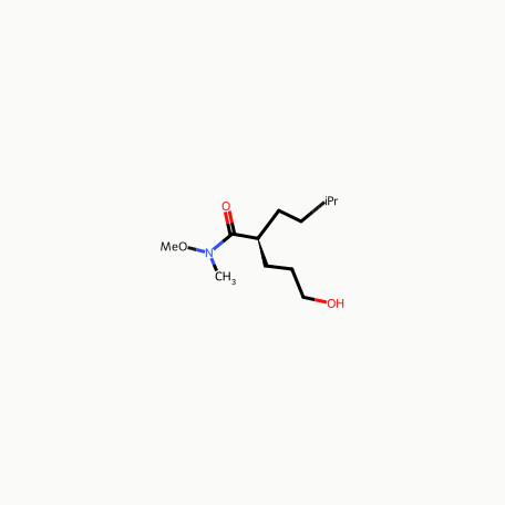 CON(C)C(=O)[C@H](CCCO)CCC(C)C